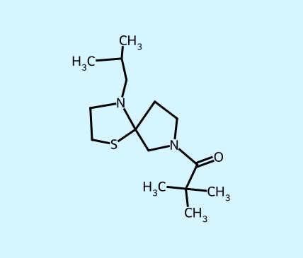 CC(C)CN1CCSC12CCN(C(=O)C(C)(C)C)C2